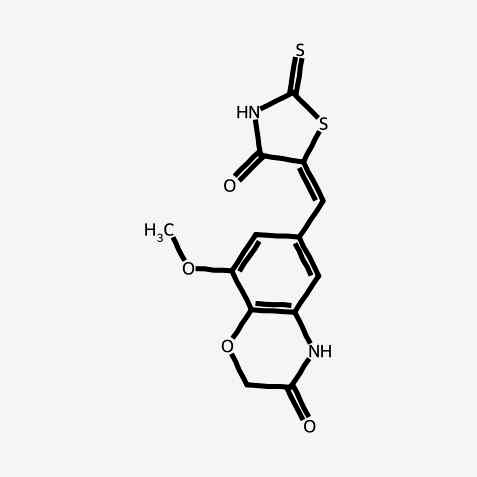 COc1cc(/C=C2/SC(=S)NC2=O)cc2c1OCC(=O)N2